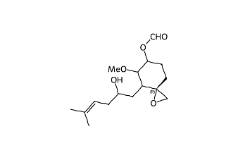 COC1C(OC=O)CC[C@]2(CO2)C1CC(O)CC=C(C)C